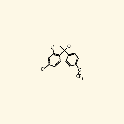 CC([O])(c1ccc(OC(F)(F)F)cc1)c1ccc(Cl)cc1Cl